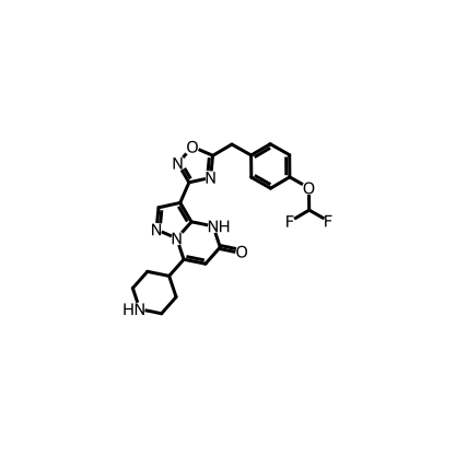 O=c1cc(C2CCNCC2)n2ncc(-c3noc(Cc4ccc(OC(F)F)cc4)n3)c2[nH]1